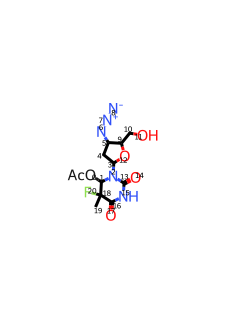 CC(=O)OC1N(C2CC(N=[N+]=[N-])C(CO)O2)C(=O)NC(=O)C1(C)F